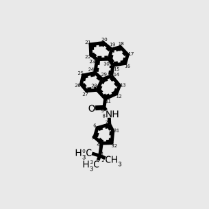 CC(C)(C)c1ccc(NC(=O)c2ccc3c4cccc5cccc(c6cccc2c63)c54)cc1